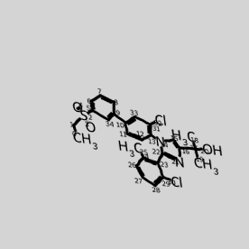 CCS(=O)(=O)c1cccc(-c2ccc(-n3cc(C(C)(C)O)nc3-c3c(C)cccc3Cl)c(Cl)c2)c1